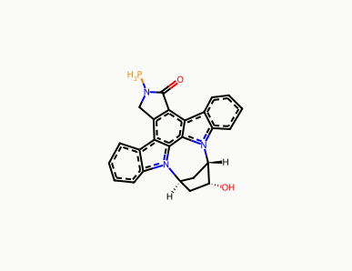 O=C1c2c(c3c4ccccc4n4c3c3c2c2ccccc2n3[C@H]2C[C@H]4C[C@H]2O)CN1P